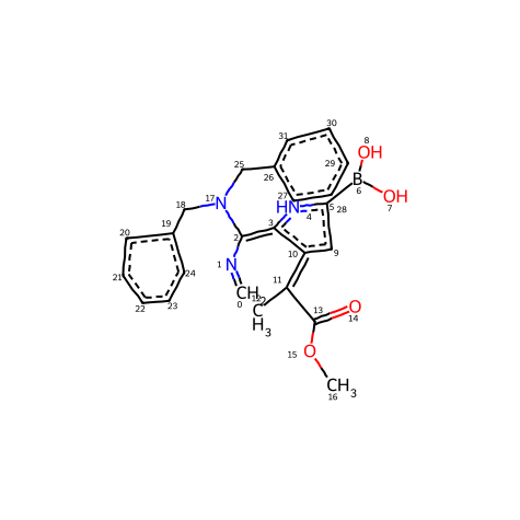 C=N/C(=c1/[nH]c(B(O)O)c/c1=C(/C)C(=O)OC)N(Cc1ccccc1)Cc1ccccc1